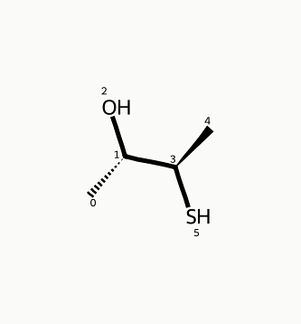 C[C@H](O)[C@@H](C)S